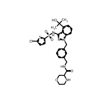 CC(C)(O)c1cccc2c1c(NS(=O)(=O)c1ccc(Cl)s1)nn2Cc1cccc(CNC(=O)C2COCCN2)c1